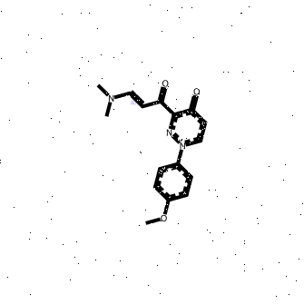 COc1ccc(-n2ccc(=O)c(C(=O)/C=C/N(C)C)n2)cc1